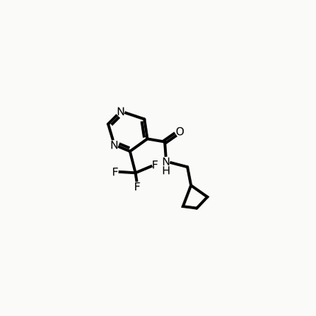 O=C(NCC1CCC1)c1cncnc1C(F)(F)F